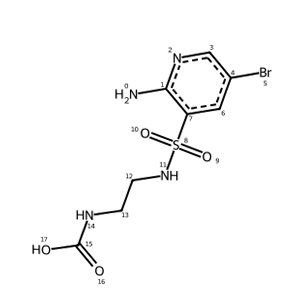 Nc1ncc(Br)cc1S(=O)(=O)NCCNC(=O)O